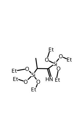 CCO[Si](OCC)(OCC)C(=N)C(C)[Si](OCC)(OCC)OCC